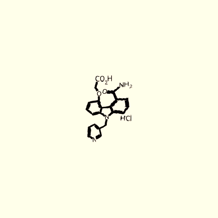 Cl.NC(=O)c1cccc2c1c1c(OCC(=O)O)cccc1n2Cc1cccnc1